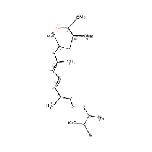 CCC(OC)C(C)CCCC(C)/C=C/C=C(\C)CC(CC(OC)C(O)OC)OC